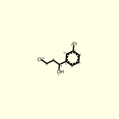 CCc1cccc(C(O)CCCl)c1